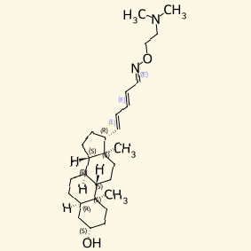 CN(C)CCO/N=C/C=C/C=C/[C@H]1CC[C@H]2[C@@H]3CC[C@@H]4C[C@@H](O)CC[C@]4(C)[C@H]3CC[C@]12C